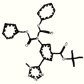 Cn1nnnc1-c1cc(C(=O)OC(C)(C)C)cc(N(C(=O)Oc2ccccc2)C(=O)Oc2ccccc2)c1